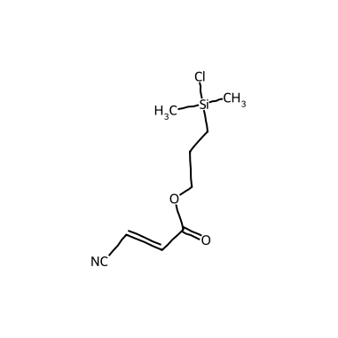 C[Si](C)(Cl)CCCOC(=O)C=CC#N